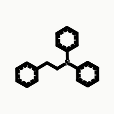 [CH](Cc1ccccc1)N(c1ccccc1)c1ccccc1